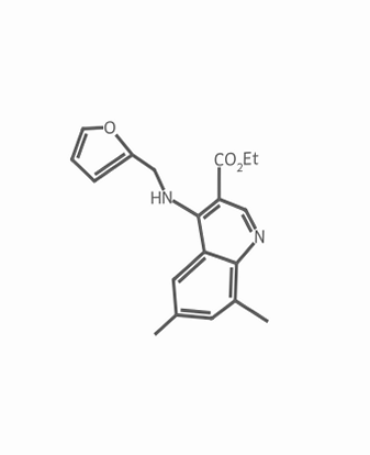 CCOC(=O)c1cnc2c(C)cc(C)cc2c1NCc1ccco1